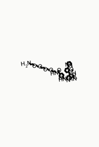 CNC(=O)c1cnc(Nc2ccc(C(=O)NCCOCCOCCOCCOCCN)cn2)cc1Nc1cccc(-c2ncccn2)c1OC